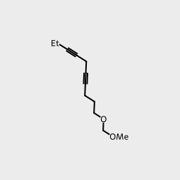 CCC#CCC#CCCCOCOC